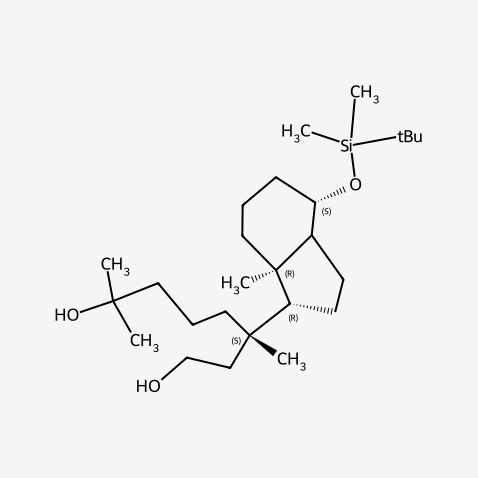 CC(C)(O)CCC[C@@](C)(CCO)[C@H]1CCC2[C@@H](O[Si](C)(C)C(C)(C)C)CCC[C@@]21C